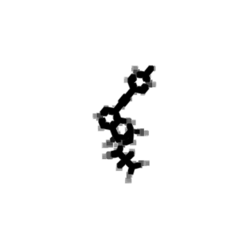 Cc1ncc(C#Cc2cncc3c2O[C@H]2C[C@@H]3N(C(=O)C(C)(C)C(F)F)C2)cn1